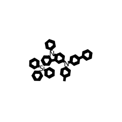 Cc1ccc(N(c2ccc(-c3ccccc3)cc2)c2ccc3c(c2)c2cc([Si](c4ccccc4)(c4ccccc4)c4ccccc4)ccc2n3-c2ccccc2)cc1